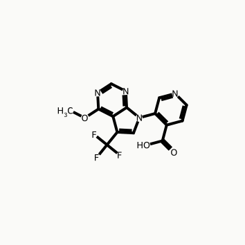 COc1ncnc2c1c(C(F)(F)F)cn2-c1cnccc1C(=O)O